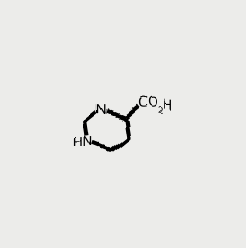 O=C(O)C1CCNC[N]1